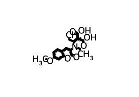 CCC(=C(C(=O)O)C(=O)O)N(CC)c1cc2ccc(OC)cc2oc1=O